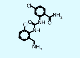 NCc1cccc(Cl)c1NC(=O)Nc1cc(Cl)ccc1C(N)=O